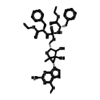 CCOC(=O)[C@H](Cc1ccccc1)NP(=O)(N[C@H](Cc1ccccc1)C(=O)OCC)OC[C@H]1OC2(C)[C@@H](n3cnc4c(OC)nc(N)nc43)C2(O)C1O